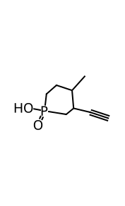 C#CC1CP(=O)(O)CCC1C